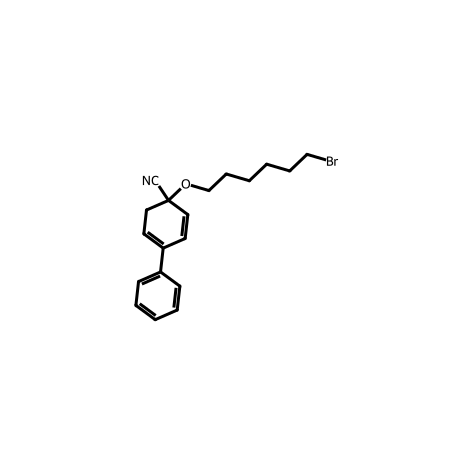 N#CC1(OCCCCCCBr)C=CC(c2ccccc2)=CC1